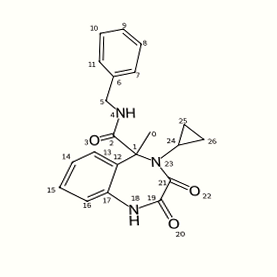 CC1(C(=O)NCc2ccccc2)c2ccccc2NC(=O)C(=O)N1C1CC1